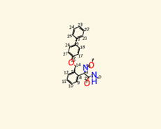 CNC(=O)C(=NOC)c1ccccc1COc1ccc(-c2ccccc2)cc1